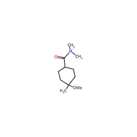 COC1(C)CCC(C(=O)N(C)C)CC1